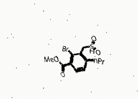 CCCc1ccc(C(=O)OC)c(Br)c1C[SH](=O)=O